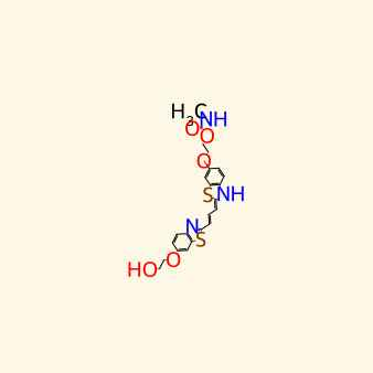 CNC(=O)OCCOc1ccc2c(c1)SC(=CC=Cc1nc3ccc(OCCO)cc3s1)N2